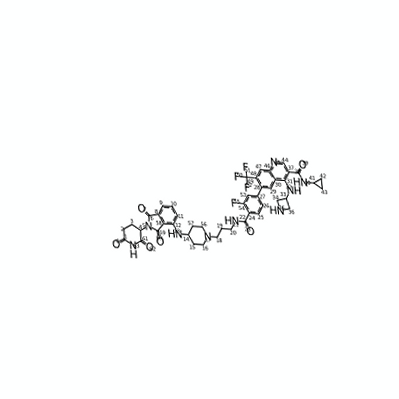 O=C1CCC(N2C(=O)c3cccc(NC4CCN(CCCNC(=O)c5ccc(-c6cc7c(NC8CNC8)c(C(=O)NC8CC8)cnc7cc6C(F)(F)F)cc5F)CC4)c3C2=O)C(=O)N1